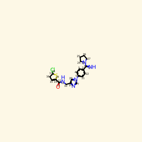 N=C(c1ccc(-n2cnc(CNC(=O)C3=CCC(Cl)S3)c2)cc1)N1CCCC1